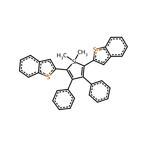 C[Si]1(C)C(c2cc3ccccc3s2)=C(c2ccccc2)C(c2ccccc2)=C1c1cc2ccccc2s1